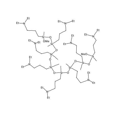 CCN(CC)CCC[Si](C)(OC)O[Si](C)(CCCN(CC)CC)O[Si](C)(CCCN(CC)CC)O[Si](C)(CCCN(CC)CC)O[Si](C)(CCCN(CC)CC)O[Si](C)(CCCN(CC)CC)O[Si](C)(CCCN(CC)CC)O[Si](C)(CCCN(CC)CC)OC